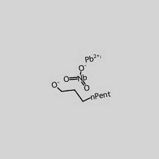 CCCCCCCC[O-].[O]=[Nb](=[O])[O-].[Pb+2]